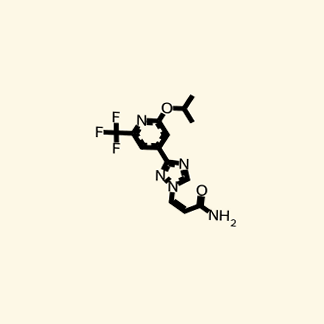 CC(C)Oc1cc(-c2ncn(/C=C\C(N)=O)n2)cc(C(F)(F)F)n1